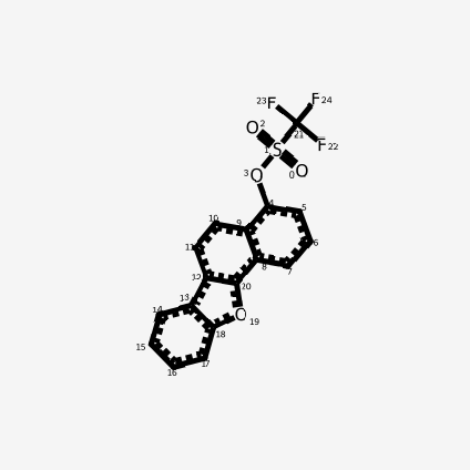 O=S(=O)(Oc1cccc2c1ccc1c3ccccc3oc21)C(F)(F)F